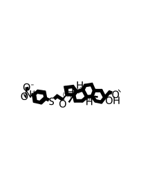 COCC1(O)CC[C@@]2(C)C(CC[C@H]3[C@@H]4CC[C@H](C(=O)CSc5ccc([N+](=O)[O-])cc5)[C@@]4(C)CC[C@@H]32)C1